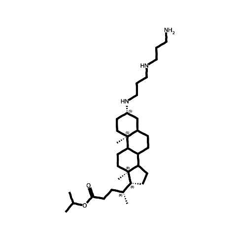 CC(C)OC(=O)CC[C@@H](C)[C@H]1CCC2C3CCC4C[C@@H](NCCCNCCCN)CC[C@]4(C)C3CC[C@@]21C